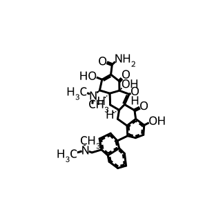 CN(C)Cc1ccc(-c2ccc(O)c3c2C[C@H]2C[C@H]4[C@@H](N(C)C)C(O)=C(C(N)=O)C(=O)[C@@]4(O)C(O)=C2C3=O)c2ccccc12